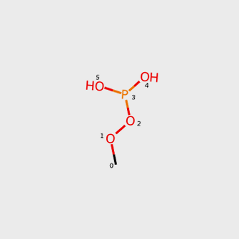 COOP(O)O